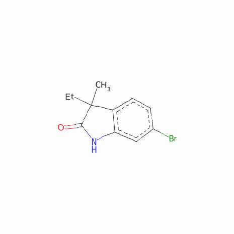 CCC1(C)C(=O)Nc2cc(Br)ccc21